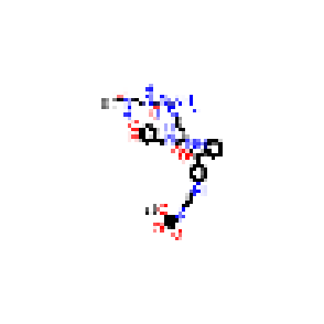 CCOc1c(NCCCNc2ccc([C@H](C(=O)N[C@H](CCCN/C(N)=N\C(=O)NCCNC(=O)CC)C(=O)NCc3ccc(O)cc3)c3ccccc3)cc2)c(=O)c1=O